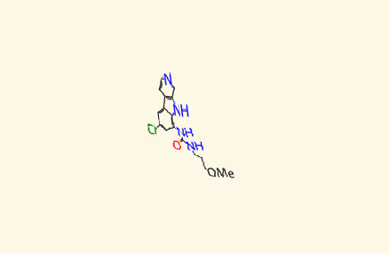 COCCCNC(=O)Nc1cc(Cl)cc2c1[nH]c1cnccc12